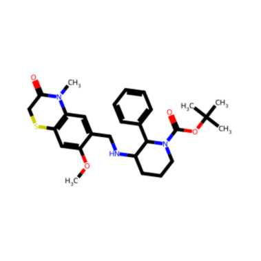 COc1cc2c(cc1CNC1CCCN(C(=O)OC(C)(C)C)C1c1ccccc1)N(C)C(=O)CS2